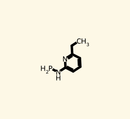 CCc1cccc(NP)n1